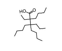 CCCCC(CCC)(CCCC)C(CC)(CCCC)C(=O)O